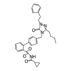 CCCCc1nn(CCc2ccccc2)c(=O)n1Cc1ccc(-c2ccccc2S(=O)(=O)NC(=O)C2CC2)cc1